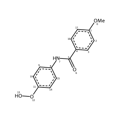 COc1ccc(C(=O)Nc2ccc(OO)cc2)cc1